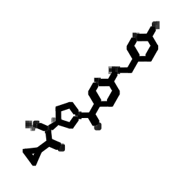 CN(C(=O)C1CC1)[C@H]1CCN(C(=O)c2ccc(NCc3ccc(Cl)nc3)nc2)C1